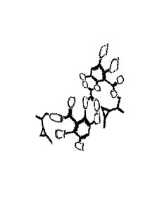 CC(COC(=O)c1c(Cl)c(Cl)cc(Cl)c1OC(=O)C(=O)Oc1c(Cl)cc(Cl)c(Cl)c1C(=O)OCC(C)C1CC1C)C1CC1C